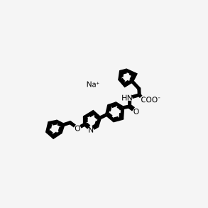 O=C(NC(Cc1ccccc1)C(=O)[O-])c1ccc(-c2ccc(OCc3ccccc3)nc2)cc1.[Na+]